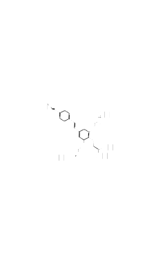 COCOc1cc(C=Cc2ccc(C#N)cc2)cc(OCOC)c1CC=C(C)C